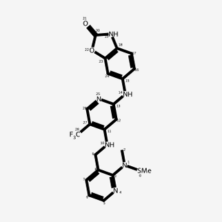 CSN(C)c1ncccc1CNc1cc(Nc2ccc3[nH]c(=O)oc3c2)ncc1C(F)(F)F